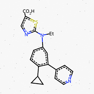 CCN(c1ccc(C2CC2)c(-c2ccncc2)c1)c1ncc(C(=O)O)s1